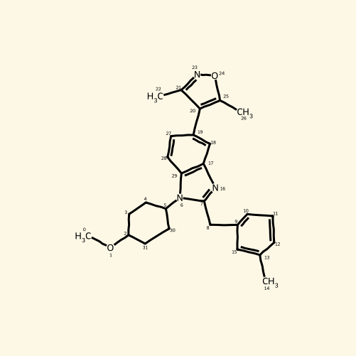 COC1CCC(n2c(Cc3cccc(C)c3)nc3cc(-c4c(C)noc4C)ccc32)CC1